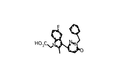 Cc1c(-c2ccc(=O)n(Cc3ccccc3)n2)c2cc(F)ccc2n1CC(=O)O